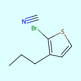 C#N.CCCc1ccsc1Br